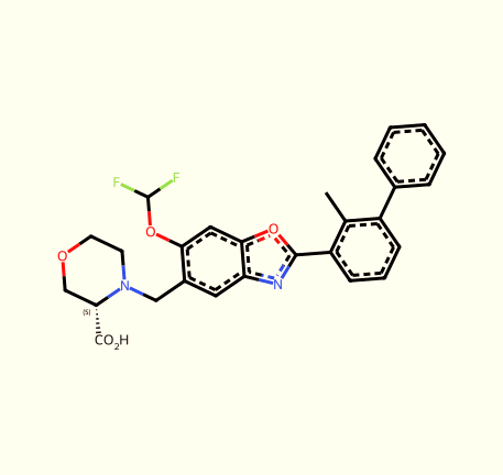 Cc1c(-c2ccccc2)cccc1-c1nc2cc(CN3CCOC[C@H]3C(=O)O)c(OC(F)F)cc2o1